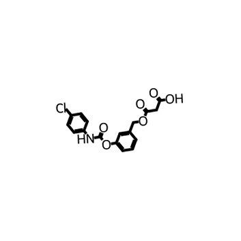 O=C(O)CC(=O)OCc1cccc(OC(=O)Nc2ccc(Cl)cc2)c1